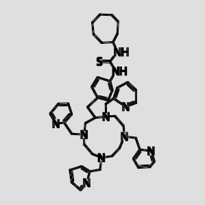 S=C(Nc1ccc(CC2CN(Cc3ccccn3)CCN(Cc3ccccn3)CCN(Cc3ccccn3)CCN2Cc2ccccn2)cc1)NC1CCCCCCC1